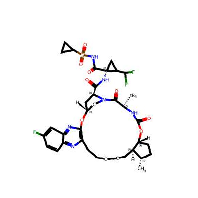 C[C@H]1CC[C@H]2OC(=O)N[C@@H](C(C)(C)C)C(=O)N3C[C@@H](C[C@H]3C(=O)N[C@]3(C(=O)NS(=O)(=O)C4CC4)CC3C(F)F)Oc3nc4cc(F)ccc4nc3CCCCC[C@H]12